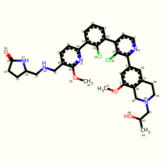 COc1cc(-c2nccc(-c3cccc(-c4ccc(CNCC5CCC(=O)N5)c(OC)n4)c3Cl)c2Cl)cc2c1CN(CC(C)O)CC2